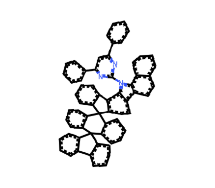 c1ccc(-c2cc(-c3ccccc3)nc(-n3c4c5c(ccc4c4ccc6ccccc6c43)C3(c4ccccc4-5)c4ccccc4C4(c5ccccc5-c5ccccc54)c4ccccc43)n2)cc1